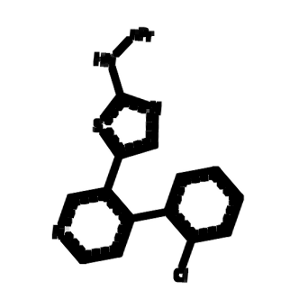 CCCNc1ncc(-c2cnccc2-c2ccccc2Cl)s1